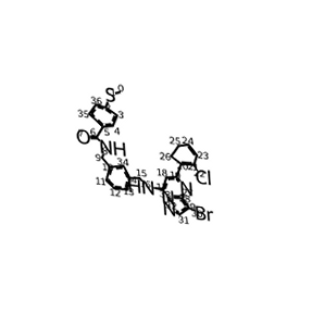 CSc1ccc(C(=O)NCc2cccc(CNc3cc(C4=C(Cl)C=CCC4)nc4c(Br)cnn34)c2)cc1